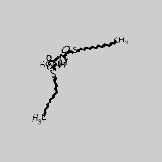 CCCCCCCCCCCCCCSCC(=O)NCC(NC(=O)CSCCCCCCCCCCCCCC)C(=O)O